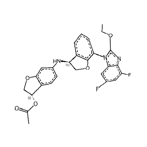 CCOc1nc2c(F)cc(F)cc2n1-c1cccc2c1OC[C@H]2Nc1ccc2c(c1)OC[C@H]2OC(C)=O